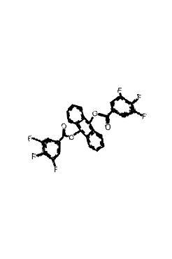 O=C(Oc1c2ccccc2c(OC(=O)c2cc(F)c(F)c(F)c2)c2ccccc12)c1cc(F)c(F)c(F)c1